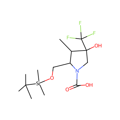 CC1C(CO[Si](C)(C)C(C)(C)C)N(C(=O)O)CC1(O)C(F)(F)F